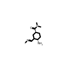 CN(C)C(=O)[C@H]1CC[C@H](N)C(/C=N/I)C1